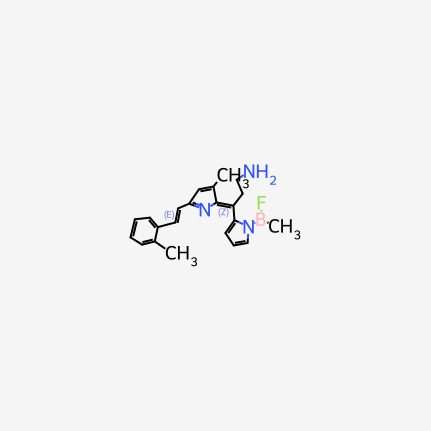 CB(F)n1cccc1/C(CCN)=C1N=C(/C=C/c2ccccc2C)C=C\1C